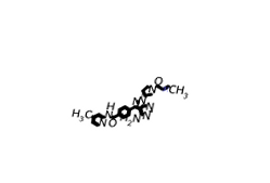 C/C=C/C(=O)N1CC[C@@H](n2nc(-c3ccc(C(=O)Nc4cc(C)ccn4)cc3)c3c(N)ncnc32)C1